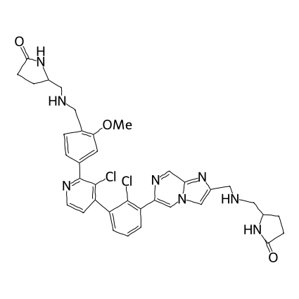 COc1cc(-c2nccc(-c3cccc(-c4cn5cc(CNCC6CCC(=O)N6)nc5cn4)c3Cl)c2Cl)ccc1CNCC1CCC(=O)N1